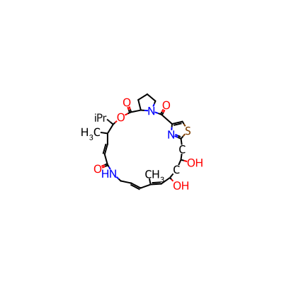 CC1=C\C(O)CC(O)Cc2nc(cs2)C(=O)N2CCCC2C(=O)OC(C(C)C)C(C)/C=C/C(=O)NC\C=C\1